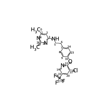 Cc1cc(NCCc2ccc(Oc3ncc(C(F)(F)F)cc3Cl)cc2)nc(C)n1